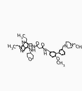 CCc1nc2c(cnn2CC)c(NC2CCOCC2)c1CNC(=O)CC(=O)NCc1ccc(OC)c(-c2cccc(CN3CCN(CC)CC3)c2)c1